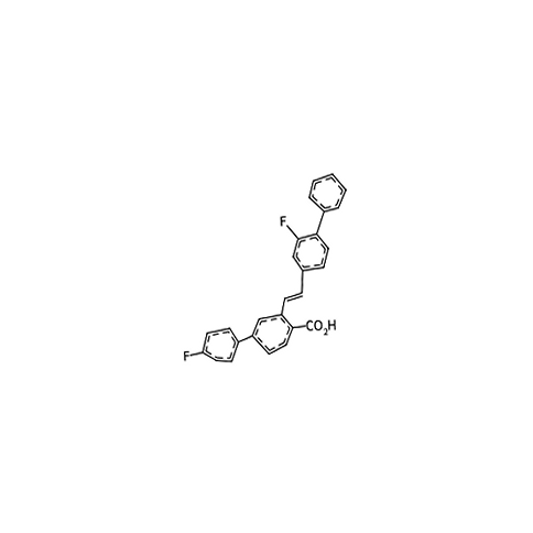 O=C(O)c1ccc(-c2ccc(F)cc2)cc1/C=C/c1ccc(-c2ccccc2)c(F)c1